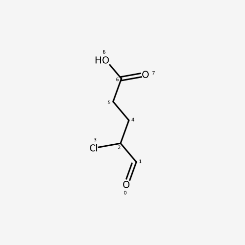 O=CC(Cl)CCC(=O)O